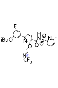 Cc1cccc(S(=O)(=O)NC(=O)c2ccc(-c3cc(F)cc(OCC(C)C)c3)nc2OC/C=N/C(F)(F)F)n1